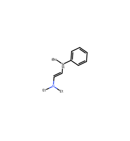 CCC(C)[SiH](C=CN(CC)CC)c1ccccc1